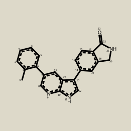 Cc1ccccc1-c1cnc2[nH]cc(-c3ccc4c(c3)CNC4=O)c2c1